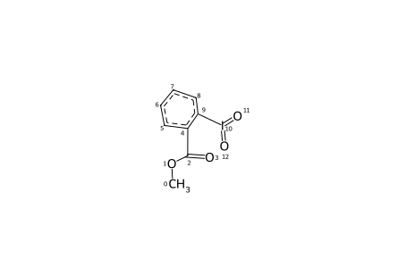 COC(=O)c1ccccc1I(=O)=O